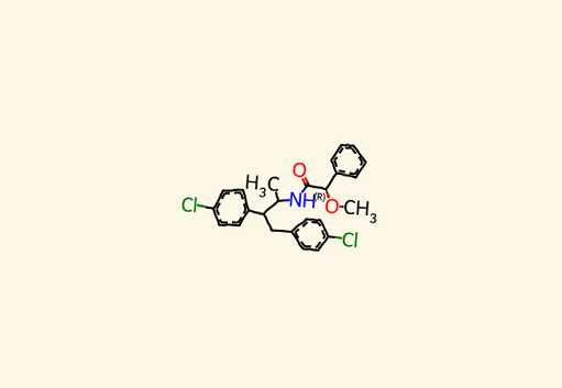 CO[C@@H](C(=O)NC(C)C(Cc1ccc(Cl)cc1)c1ccc(Cl)cc1)c1ccccc1